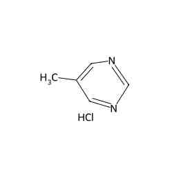 Cc1cncnc1.Cl